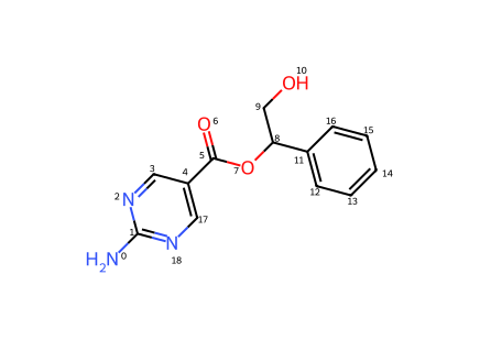 Nc1ncc(C(=O)OC(CO)c2ccccc2)cn1